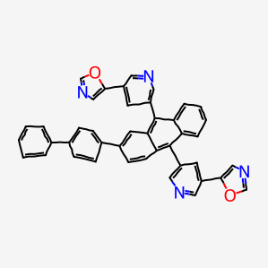 c1ccc(-c2ccc(-c3ccc4c(-c5cncc(-c6cnco6)c5)c5ccccc5c(-c5cncc(-c6cnco6)c5)c4c3)cc2)cc1